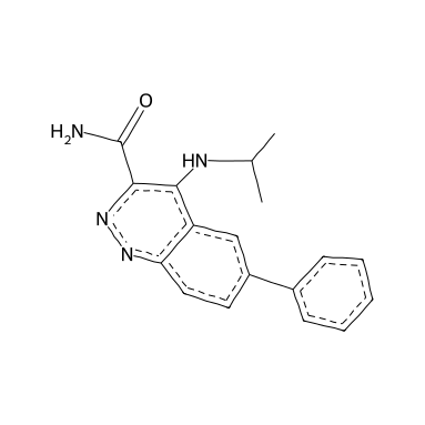 CC(C)Nc1c(C(N)=O)nnc2ccc(-c3ccccc3)cc12